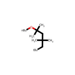 CCCCOC(C)(C)CC(C)(C)CC(C)(C)C